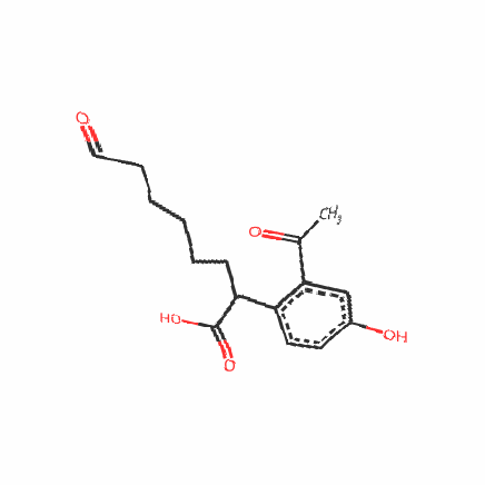 CC(=O)c1cc(O)ccc1C(CCCCCC=O)C(=O)O